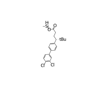 C[SiH](C)OC(=O)CC[C@@H](c1ccc(-c2ccc(Cl)c(Cl)c2)cc1)C(C)(C)C